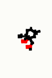 CC(C)[C@@H]1CC[C@@H](C)CC1(O)CO